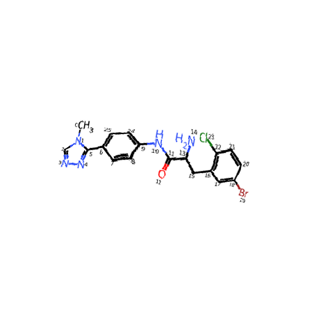 Cn1cnnc1-c1ccc(NC(=O)C(N)Cc2cc(Br)ccc2Cl)cc1